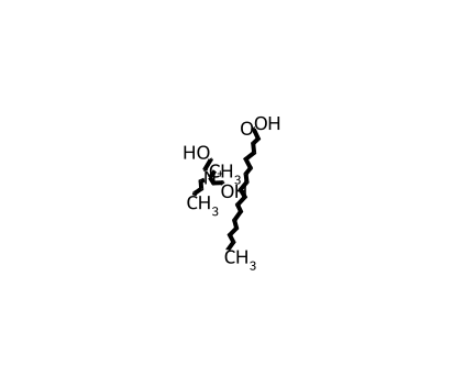 CCCCCCCCCCCCCCCCCC(=O)O.CCCC[N+](C)(CCO)CCO